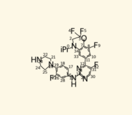 CC(C)N1CC(F)(F)Oc2c(F)cc(-c3nc(Nc4ccc(N5CCNCC5)c(F)c4)ncc3F)cc21